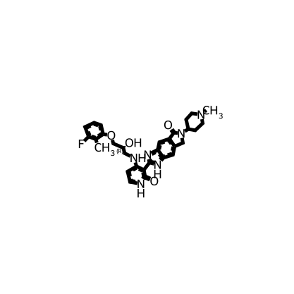 Cc1c(F)cccc1OC[C@H](O)CNc1cc[nH]c(=O)c1-c1nc2cc3c(cc2[nH]1)CN(C1CCN(C)CC1)C3=O